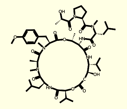 COc1ccc(C[C@H]2C(=O)O[C@H](C)[C@H](NC(=O)[C@@H](CC(C)C)N(C)C(=O)[C@@H]3CCCN3C(=O)[C@H](C)O)C(=O)N[C@H](C(C)C)[C@@H](O)CC(=O)O[C@@H](C(C)C)C(=O)N[C@@H](CC(C)C)C(=O)N(C)[C@@H](C)C(=O)N2C)cc1